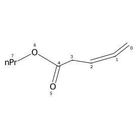 C=C=CCC(=O)OCCC